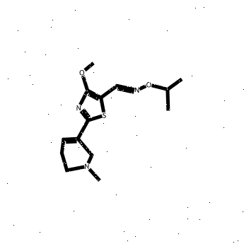 COc1nc(C2=CCCN(C)C2)sc1C=NOC(C)C